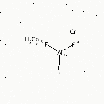 [CaH2].[Cr].[F][Al]([F])[F]